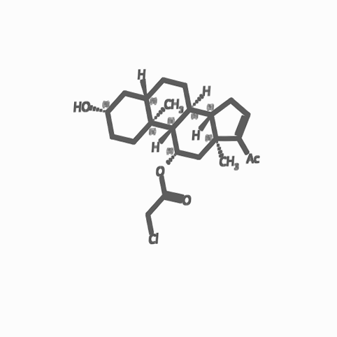 CC(=O)C1=CC[C@H]2[C@@H]3CC[C@H]4C[C@@H](O)CC[C@]4(C)[C@H]3[C@@H](OC(=O)CCl)C[C@]12C